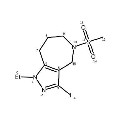 CCn1nc(I)c2c1CCCN(S(C)(=O)=O)C2